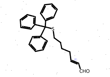 O=C/C=C/CCCCSC(c1ccccc1)(c1ccccc1)c1ccccc1